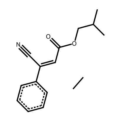 CC.CC(C)COC(=O)C=C(C#N)c1ccccc1